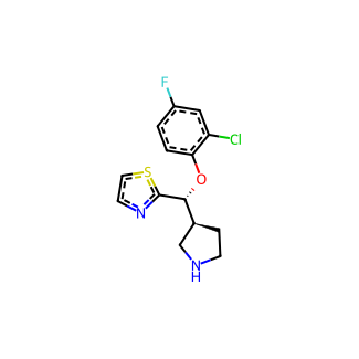 Fc1ccc(O[C@@H](c2nccs2)[C@H]2CCNC2)c(Cl)c1